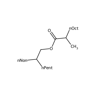 CCCCCCCCCC(CCCCC)COC(=O)C(C)CCCCCCCC